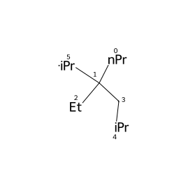 CCCC(CC)(CC(C)C)[C](C)C